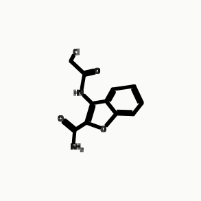 NC(=O)c1oc2ccccc2c1NC(=O)CCl